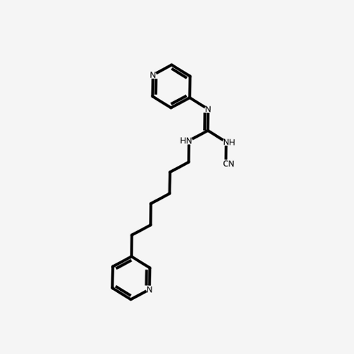 N#CNC(=Nc1ccncc1)NCCCCCCc1cccnc1